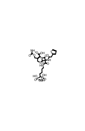 NC(=O)OCC1=C(C(=O)O)N2C(=O)C(NC(=O)Cc3cccs3)(C(=O)NCCCCC(P(=O)(O)O)P(=O)(O)O)[C@@H]2SC1